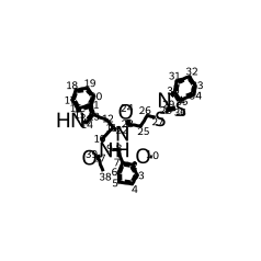 COc1ccccc1CN(CC(Cc1c[nH]c2ccccc12)NC(=O)CCSc1nc2ccccc2s1)C(C)=O